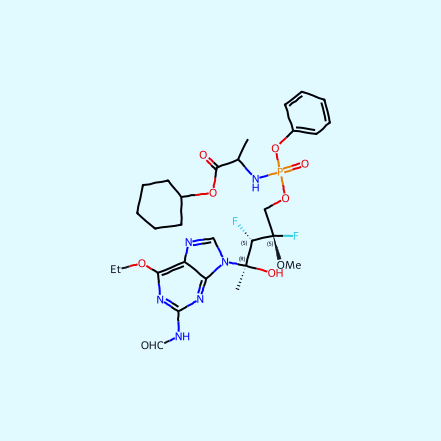 CCOc1nc(NC=O)nc2c1ncn2[C@](C)(O)[C@H](F)[C@@](F)(COP(=O)(NC(C)C(=O)OC1CCCCC1)Oc1ccccc1)OC